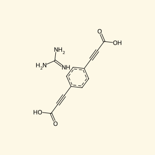 N=C(N)N.O=C(O)C#Cc1ccc(C#CC(=O)O)cc1